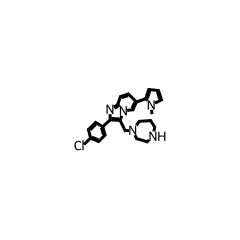 Cn1cccc1-c1ccc2nc(-c3ccc(Cl)cc3)c(CN3CCCNCC3)n2c1